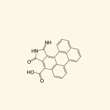 N=c1[nH]c(=O)c2c(C(=O)O)c3cccc4c5cccc6cccc(c65)c(c12)c34